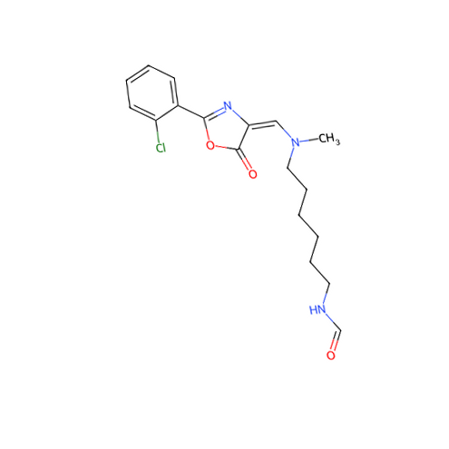 CN(C=C1N=C(c2ccccc2Cl)OC1=O)CCCCCCNC=O